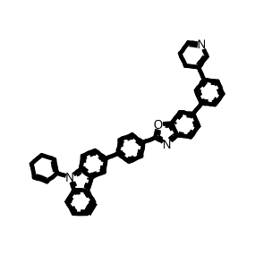 c1ccc2c(c#1)c1cc(-c3ccc(-c4nc5ccc(-c6cccc(C7=CN=CCC7)c6)cc5o4)cc3)ccc1n2C1=CCCC=C1